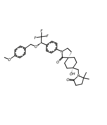 COc1ccc(CO[C@H](c2ccc(N3CC[C@]4(CC[C@](O)(CN5C(=O)CCC5(C)C)CC4)C3=O)cc2)C(F)(F)F)cc1